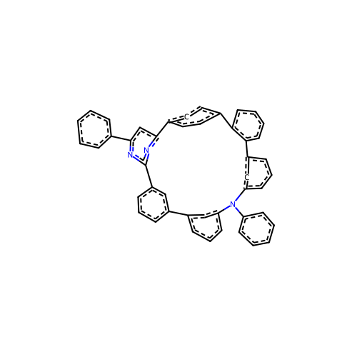 c1ccc(-c2cc3nc(n2)-c2cccc(c2)-c2cccc(c2)N(c2ccccc2)c2cccc(c2)-c2ccccc2-c2ccc-3cc2)cc1